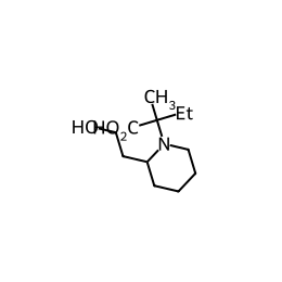 CCC(C)(C(=O)O)N1CCCCC1CCO